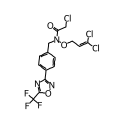 O=C(CCl)N(Cc1ccc(-c2noc(C(F)(F)F)n2)cc1)OCC=C(Cl)Cl